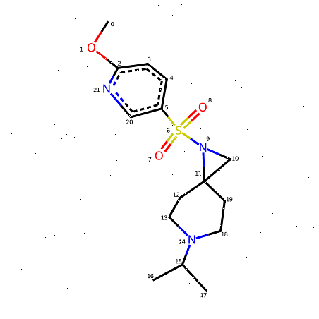 COc1ccc(S(=O)(=O)N2CC23CCN(C(C)C)CC3)cn1